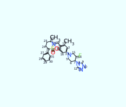 Cc1cc(N2CC[C@H](n3cnnc3)[C@H](F)C2)ccc1CN1[C@@H](C)CC[C@H](c2ccccc2)S1(=O)=O